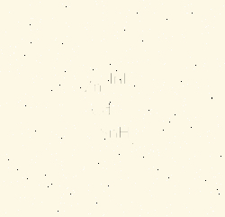 [Cd].[InH3].[SnH2].[Zn]